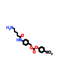 NCCCCC(=O)Nc1ccc(COC(=O)Oc2ccc([N+](=O)[O-])cc2)cc1